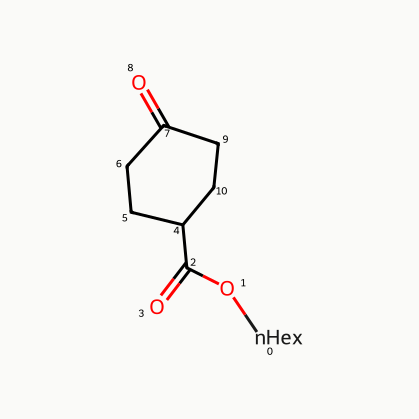 CCCCCCOC(=O)C1CCC(=O)CC1